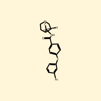 CC(=O)c1cccc(Sc2ccc(C(=O)N[C@H]3CN4CCC3CC4)cc2)c1